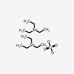 C[CH2][Sn+]([CH2]C)[CH2]C.C[CH2][Sn+]([CH2]C)[CH2]C.[O]=[Cr](=[O])([O-])[O-]